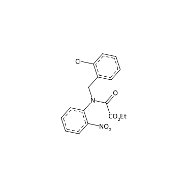 CCOC(=O)C(=O)N(Cc1ccccc1Cl)c1ccccc1[N+](=O)[O-]